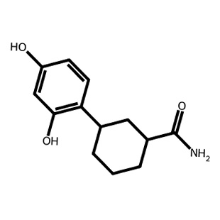 NC(=O)C1CCCC(c2ccc(O)cc2O)C1